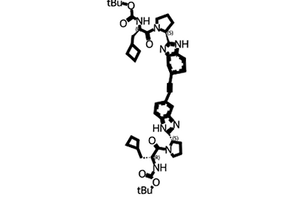 CC(C)(C)OC(=O)N[C@H](CC1CCC1)C(=O)N1CCC[C@H]1c1nc2cc(C#Cc3ccc4[nH]c([C@@H]5CCCN5C(=O)[C@@H](CC5CCC5)NC(=O)OC(C)(C)C)nc4c3)ccc2[nH]1